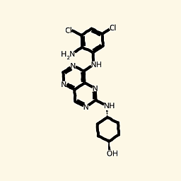 Nc1c(Cl)cc(Cl)cc1Nc1ncnc2cnc(N[C@H]3CC[C@H](O)CC3)nc12